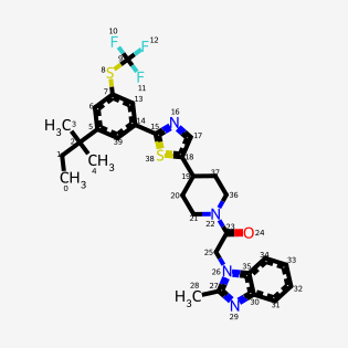 CCC(C)(C)c1cc(SC(F)(F)F)cc(-c2ncc(C3CCN(C(=O)Cn4c(C)nc5ccccc54)CC3)s2)c1